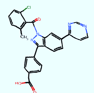 Cc1cccc(Cl)c1C(=O)n1nc(-c2ccc(C(=O)O)cc2)c2ccc(-c3ccncn3)cc21